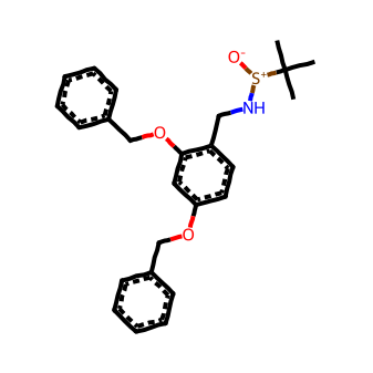 CC(C)(C)[S+]([O-])NCc1ccc(OCc2ccccc2)cc1OCc1ccccc1